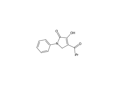 CC(C)C(=O)C1=C(O)C(=O)N(c2ccccc2)C1